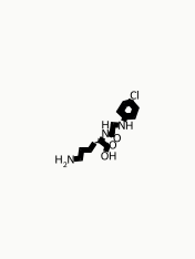 NCCCC[C@H](NC(=O)CNc1ccc(Cl)cc1)C(=O)O